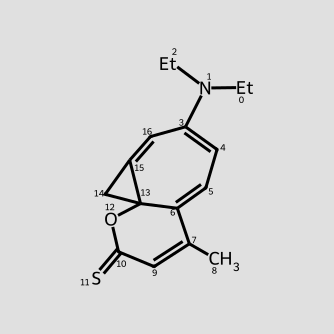 CCN(CC)C1=CC=C2C(C)=CC(=S)OC23CC3=C1